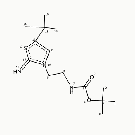 CC(C)(C)OC(=O)NCCn1cc(C(C)(C)C)sc1=N